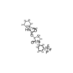 C#CC1(NC(=O)OC2SCN(c3cccc(C(F)(F)F)c3)C2=O)CCCCC1